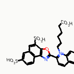 O=C(O)CCCCC[n+]1c(-c2nc3c(o2)c(S(=O)(=O)O)cc2cc(S(=O)(=O)O)ccc23)ccc2ccccc21